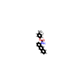 O=C(Nc1cccc2cc3ccccc3cc12)Oc1ccc([N+](=O)[O-])cc1